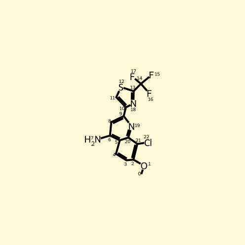 COc1ccc2c(N)cc(-c3csc(C(F)(F)F)n3)nc2c1Cl